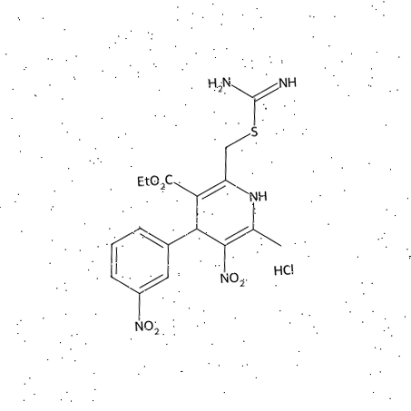 CCOC(=O)C1=C(CSC(=N)N)NC(C)=C([N+](=O)[O-])C1c1cccc([N+](=O)[O-])c1.Cl